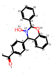 CC(=O)c1ccc(C2c3ccccc3OC(c3ccccc3)N2O)cc1